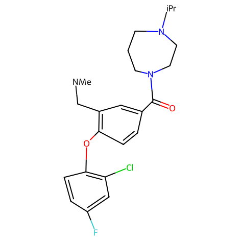 CNCc1cc(C(=O)N2CCCN(C(C)C)CC2)ccc1Oc1ccc(F)cc1Cl